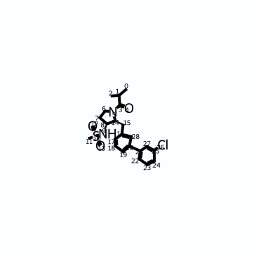 CC(C)C(=O)N1CC[C@H](NS(C)(=O)=O)[C@@H]1Cc1cccc(-c2cccc(Cl)c2)c1